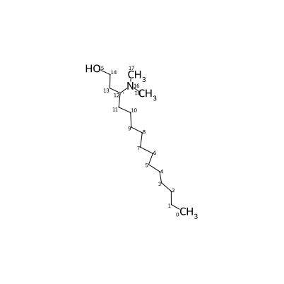 CCCCCCCCCCCC[C](CCO)N(C)C